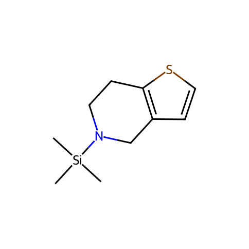 C[Si](C)(C)N1CCc2sccc2C1